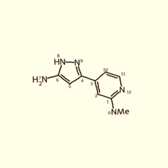 CNc1cc(-c2cc(N)[nH]n2)ccn1